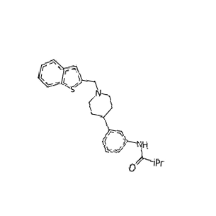 CC(C)C(=O)Nc1cccc(C2CCN(Cc3cc4ccccc4s3)CC2)c1